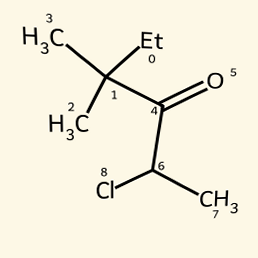 CCC(C)(C)C(=O)C(C)Cl